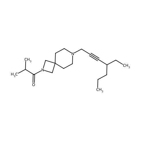 CCCC(C#CCN1CCC2(CC1)CN(C(=O)C(C)C)C2)CC